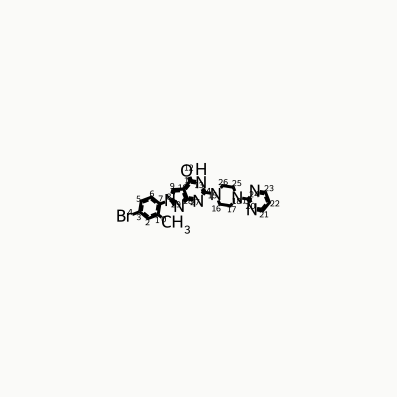 Cc1cc(Br)ccc1-n1cc2c(=O)[nH]c(N3CCN(c4ncccn4)CC3)nc2n1